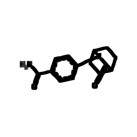 NC(=O)c1ccc(N2C(=O)C3CCC2CC3)cc1